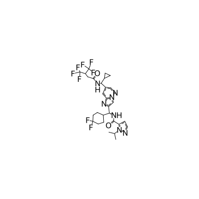 CC(C)n1nccc1C(=O)N[C@H](c1cn2ncc([C@H](NC(=O)CC(C(F)(F)F)C(F)(F)F)C3CC3)cc2n1)C1CCC(F)(F)CC1